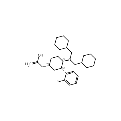 C=C(O)C[C@@H]1CC[C@@H](N(CC2CCCCC2)CC2CCCCC2)[C@H](c2ccccc2F)C1